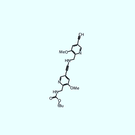 C#Cc1cnc(CNC#Cc2cnc(CNC(=O)OC(C)(C)C)c(OC)c2)c(OC)c1